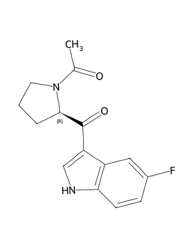 CC(=O)N1CCC[C@@H]1C(=O)c1c[nH]c2ccc(F)cc12